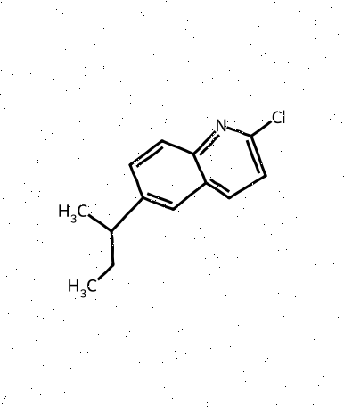 CCC(C)c1ccc2nc(Cl)ccc2c1